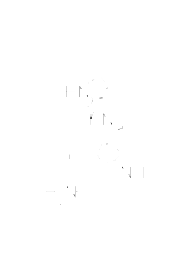 Cc1cc(C)c(CNC(=O)c2cc(Cl)cc(NC(C)[C@H]3CC[C@H](N)CC3)c2C)c(=O)[nH]1